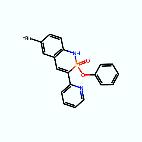 CC(C)(C)c1ccc2c(c1)C=C(c1ccccn1)P(=O)(Oc1ccccc1)N2